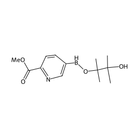 COC(=O)c1ccc(BOC(C)(C)C(C)(C)O)cn1